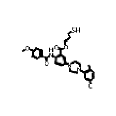 COc1ccc(C(=O)Nc2ccc(N3CCN(c4cc(Cl)ccc4C)CC3)cc2C(=O)OCCCS)cc1